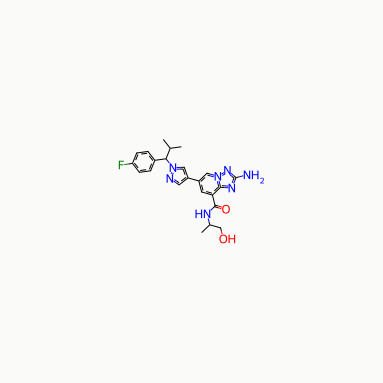 CC(CO)NC(=O)c1cc(-c2cnn(C(c3ccc(F)cc3)C(C)C)c2)cn2nc(N)nc12